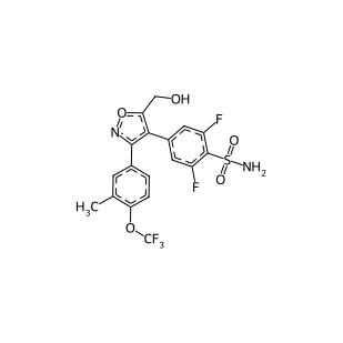 Cc1cc(-c2noc(CO)c2-c2cc(F)c(S(N)(=O)=O)c(F)c2)ccc1OC(F)(F)F